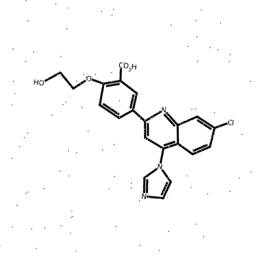 O=C(O)c1cc(-c2cc(-n3ccnc3)c3ccc(Cl)cc3n2)ccc1OCCO